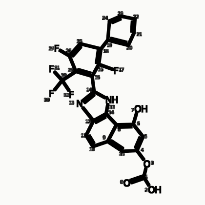 O=C(O)Oc1cc(O)c2c(ccc3nc(-c4c(F)c(-c5ccccc5)cc(F)c4C(F)(F)F)[nH]c32)c1